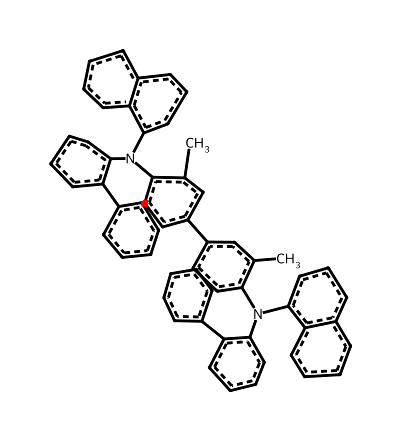 Cc1cc(-c2ccc(N(c3ccccc3-c3ccccc3)c3cccc4ccccc34)c(C)c2)ccc1N(c1ccccc1-c1ccccc1)c1cccc2ccccc12